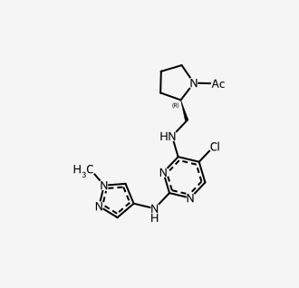 CC(=O)N1CCC[C@@H]1CNc1nc(Nc2cnn(C)c2)ncc1Cl